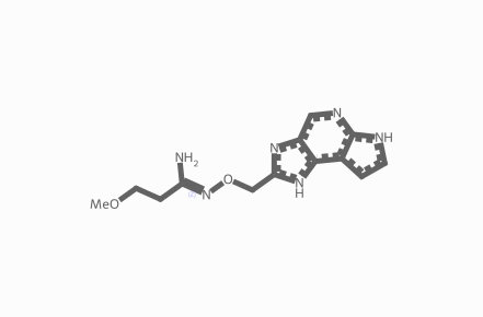 COCC/C(N)=N/OCc1nc2cnc3[nH]ccc3c2[nH]1